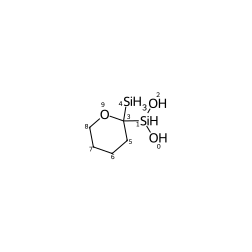 O[SiH](O)C1([SiH3])CCCCO1